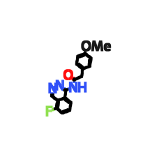 COc1ccc(CC(=O)Nc2nncc3c(F)cccc23)cc1